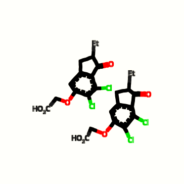 CCC1Cc2cc(OCC(=O)O)c(Cl)c(Cl)c2C1=O.CCC1Cc2cc(OCC(=O)O)c(Cl)c(Cl)c2C1=O